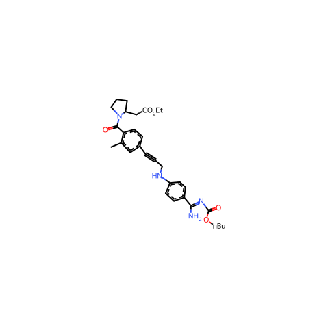 CCCCOC(=O)N=C(N)c1ccc(NCC#Cc2ccc(C(=O)N3CCCC3CC(=O)OCC)c(C)c2)cc1